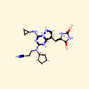 N#CCCN(c1nc(NC2CC2)n2ncc(/C=C3\NC(=O)NC3=O)c2n1)C1CCCC1